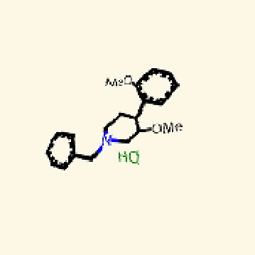 COc1ccccc1C1CCN(Cc2ccccc2)CC1OC.Cl